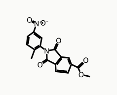 COC(=O)c1ccc2c(c1)C(=O)N(c1cc([N+](=O)[O-])ccc1C)C2=O